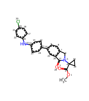 COC(=O)C1(N2Cc3ccc(-c4ccc(Nc5ccc(Cl)cc5)cc4)cc3C2=O)CC1